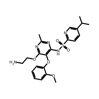 COc1ccccc1Oc1c(NS(=O)(=O)c2ccc(C(C)C)cn2)nc(C)nc1OCCN